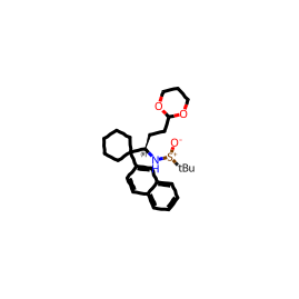 CC(C)(C)[S+]([O-])N[C@H](CCC1OCCCO1)C1(c2ccc3ccccc3c2)CCCCC1